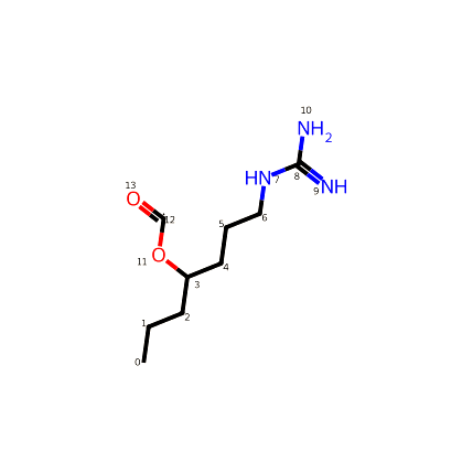 CCCC(CCCNC(=N)N)O[C]=O